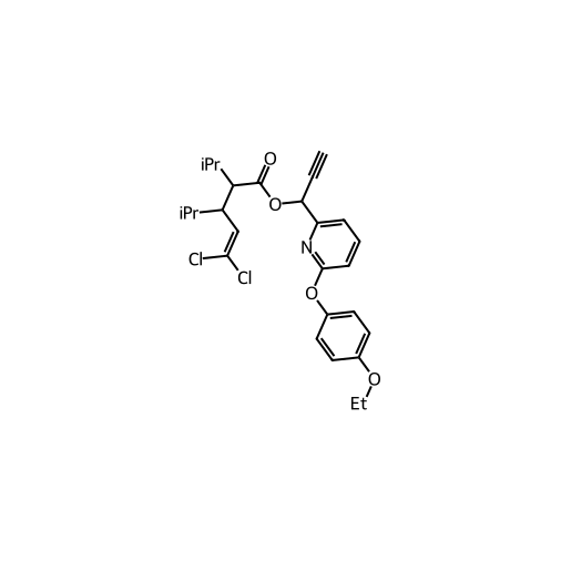 C#CC(OC(=O)C(C(C)C)C(C=C(Cl)Cl)C(C)C)c1cccc(Oc2ccc(OCC)cc2)n1